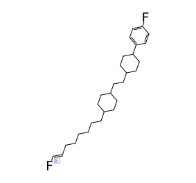 F/C=C/CCCCCCC1CCC(CCC2CCC(c3ccc(F)cc3)CC2)CC1